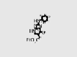 CCOC(=O)Cc1c[nH]c2nc(Nc3ccccc3)nn2c1=O